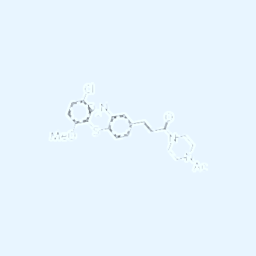 COc1ccc(Cl)cc1Sc1ccc(C=CC(=O)N2CCN(C(C)=O)CC2)cc1[N+](=O)[O-]